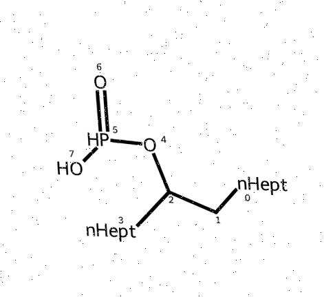 CCCCCCCCC(CCCCCCC)O[PH](=O)O